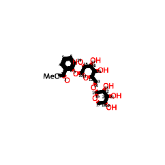 COC(=O)c1ccccc1OC1OC(COC2OCC(O)C(O)C2O)C(O)C(O)C1O